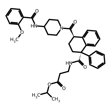 COc1ccccc1C(=O)NC1CCN(C(=O)[C@@H]2CC[C@](C(=O)NCCC(=O)OC(C)C)(c3ccccc3)c3ccccc32)CC1